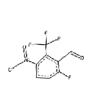 O=Cc1c(F)ccc([N+](=O)[O-])c1C(F)(F)F